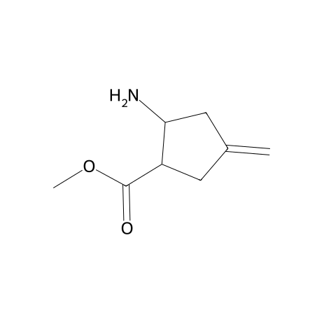 C=C1CC(N)C(C(=O)OC)C1